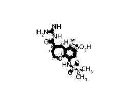 CN(C)S(=O)(=O)Nc1cccc2c1OCCC(C(=O)NC(=N)N)=C2.CS(=O)(=O)O